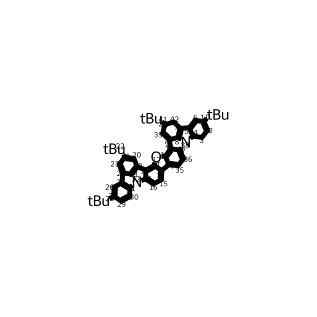 CC(C)(C)C1=CCC2C(=C1)C1=c3c(c4c5oc6c(ccc7c6c6cc(C(C)(C)C)cc8c9cc(C(C)(C)C)ccc9n7c86)c5ccc4n32)=CC(C(C)(C)C)C1